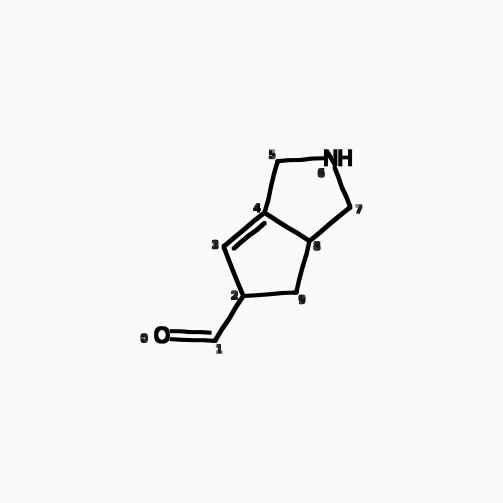 O=CC1C=C2CNCC2C1